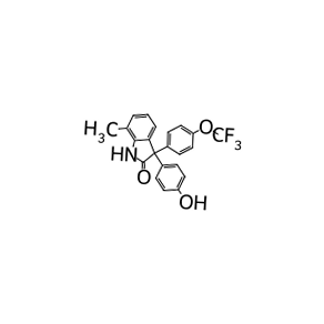 Cc1cccc2c1NC(=O)C2(c1ccc(O)cc1)c1ccc(OC(F)(F)F)cc1